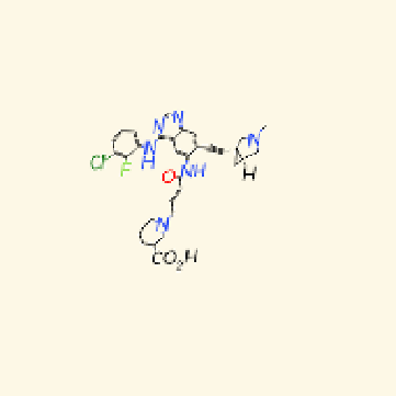 CN1C[C@H]2C[C@@]2(C#Cc2cc3ncnc(Nc4cccc(Cl)c4F)c3cc2NC(=O)/C=C/CN2CCCC(C(=O)O)C2)C1